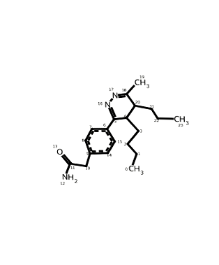 CCCCC1C(c2ccc(CC(N)=O)cc2)=NN=C(C)C1CCC